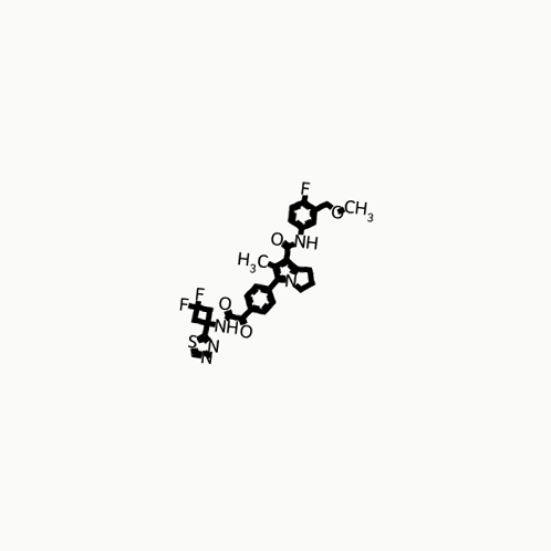 COCc1cc(NC(=O)c2c(C)c(-c3ccc(C(=O)C(=O)NC4(c5nncs5)CC(F)(F)C4)cc3)n3c2CCC3)ccc1F